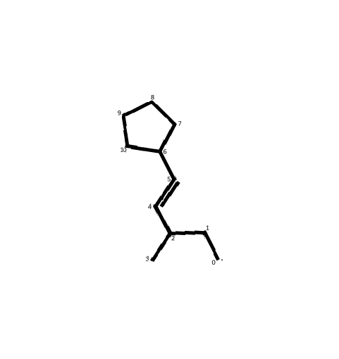 [CH2]CC(C)C=CC1CCCC1